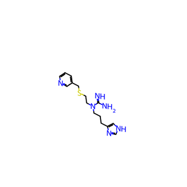 N=C(N)N(CCCc1c[nH]cn1)CCSCc1cccnc1